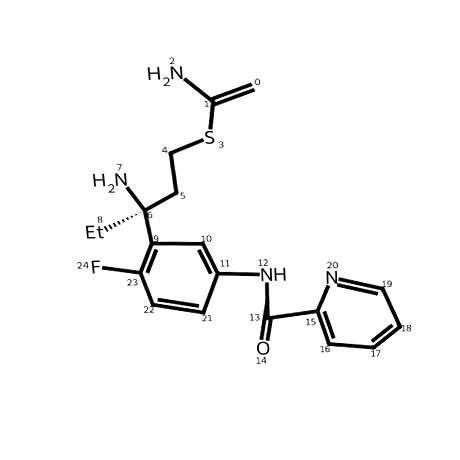 C=C(N)SCC[C@@](N)(CC)c1cc(NC(=O)c2ccccn2)ccc1F